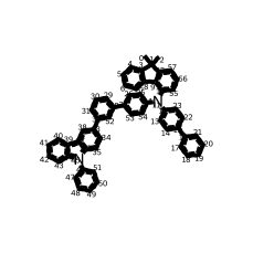 CC1(C)c2ccccc2-c2c(N(c3ccc(-c4ccccc4)cc3)c3ccc(-c4cccc(-c5ccc6c(c5)c5ccccc5n6-c5ccccc5)c4)cc3)cccc21